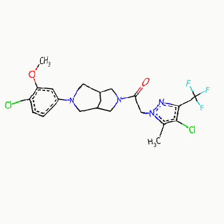 COc1cc(N2CC3CN(C(=O)Cn4nc(C(F)(F)F)c(Cl)c4C)CC3C2)ccc1Cl